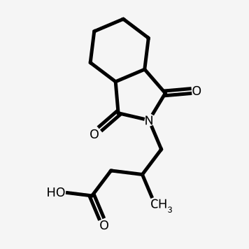 CC(CC(=O)O)CN1C(=O)C2CCCCC2C1=O